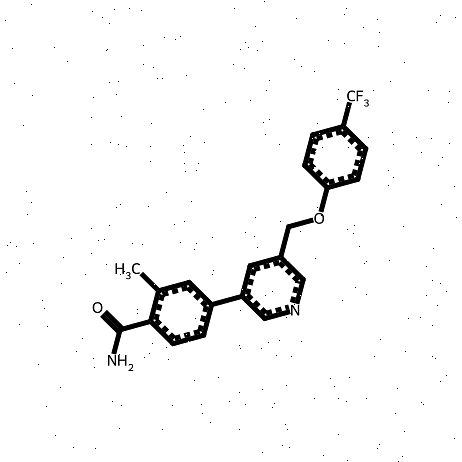 Cc1cc(-c2cncc(COc3ccc(C(F)(F)F)cc3)c2)ccc1C(N)=O